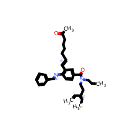 C=C/C(=C\C)CCN(CCC)C(=O)c1ccc(/N=C/c2ccccc2)c(/C=C/CCCCC(C)=O)c1